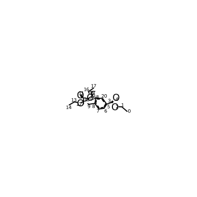 CCOC(=O)c1ccc(CP(=O)(OCC)OCC)c(F)c1